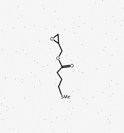 CSCCCC(=O)OCC1CO1